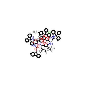 Cc1ccc(C(OC(=O)[C@H](COC(C)(C)C)CC(=O)[C@H](Cc2cn(C(c3ccccc3)(c3ccccc3)c3ccccc3)cn2)NC(=O)C(CC(=O)[C@H](CC(C)C)NC(=O)[C@@H](CC(=O)[C@H](CC(=O)NC(c2ccccc2)(c2ccccc2)c2ccccc2)NC(=O)OCC2c3ccccc3-c3ccccc32)Cc2ccccc2)C(C)C)(c2ccccc2)c2ccccc2Cl)cc1